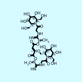 CN(OC(=O)/C=C/C(=O)ON(C)C(=N)NCC(=O)N1[C@H](CO)[C@@H](O)C(O)[C@H](O)[C@H]1CO)C(=N)NCC(=O)N1[C@H](CO)[C@@H](O)C(O)[C@H](O)[C@H]1CO